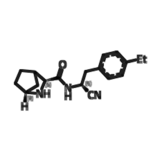 CCc1ccc(C[C@@H](C#N)NC(=O)[C@H]2N[C@@H]3CCC2C3)cc1